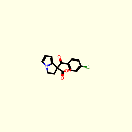 O=C(O)C1(C(=O)c2ccc(Cl)cc2)CCn2cccc21